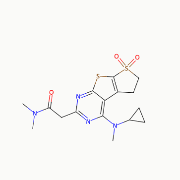 CN(C)C(=O)Cc1nc(N(C)C2CC2)c2c3c(sc2n1)S(=O)(=O)CC3